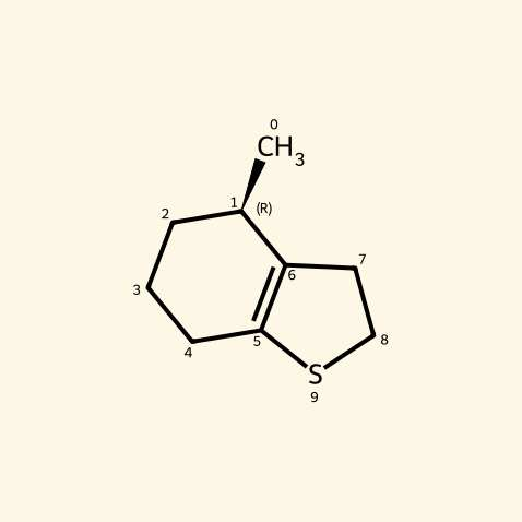 C[C@@H]1CCCC2=C1CCS2